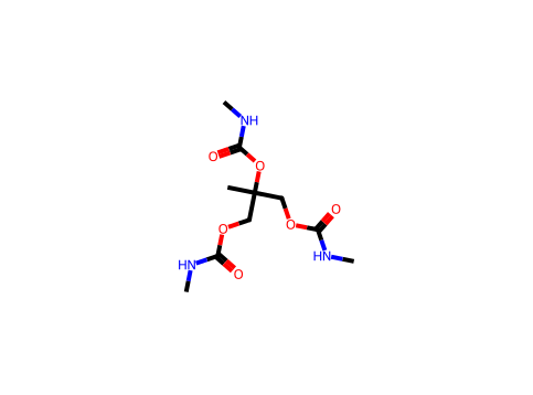 CNC(=O)OCC(C)(COC(=O)NC)OC(=O)NC